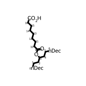 CCCCCCCCCCCCC(CCCCCCCCCCCC)OC(=O)CCCCCCCC(=O)O